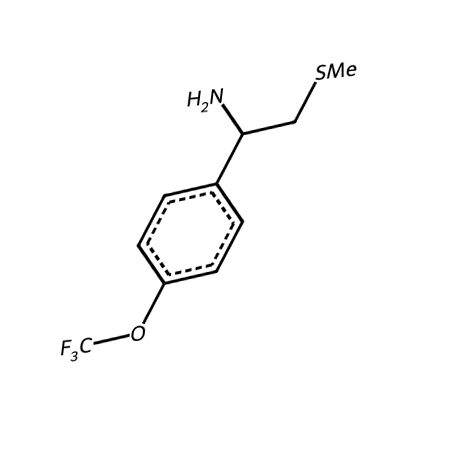 CSCC(N)c1ccc(OC(F)(F)F)cc1